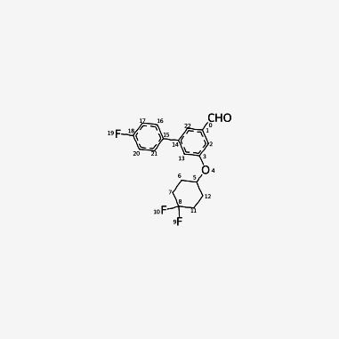 O=Cc1cc(OC2CCC(F)(F)CC2)cc(-c2ccc(F)cc2)c1